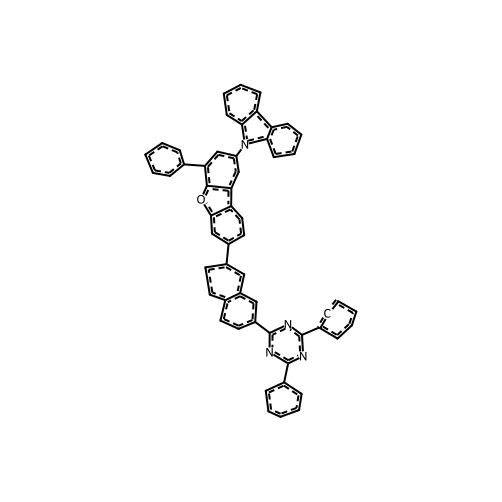 c1ccc(-c2nc(-c3ccccc3)nc(-c3ccc4ccc(-c5ccc6c(c5)oc5c(-c7ccccc7)cc(-n7c8ccccc8c8ccccc87)cc56)cc4c3)n2)cc1